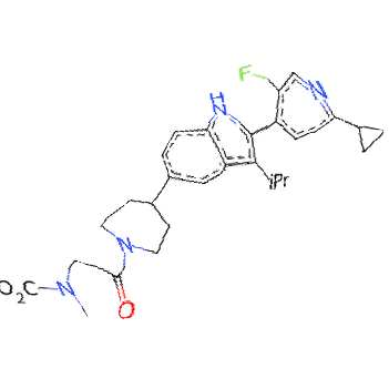 CC(C)c1c(-c2cc(C3CC3)ncc2F)[nH]c2ccc(C3CCN(C(=O)CN(C)C(=O)O)CC3)cc12